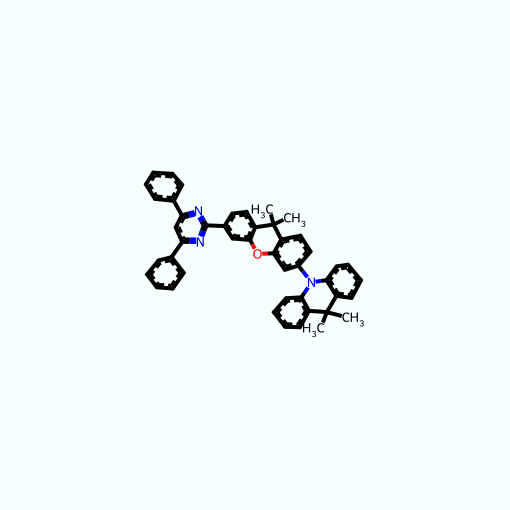 CC1(C)c2ccc(-c3nc(-c4ccccc4)cc(-c4ccccc4)n3)cc2Oc2cc(N3c4ccccc4C(C)(C)c4ccccc43)ccc21